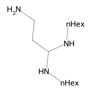 CCCCCCNC(CCN)NCCCCCC